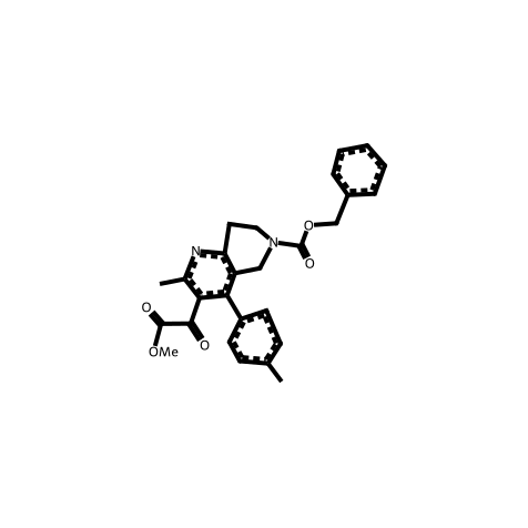 COC(=O)C(=O)c1c(C)nc2c(c1-c1ccc(C)cc1)CN(C(=O)OCc1ccccc1)CC2